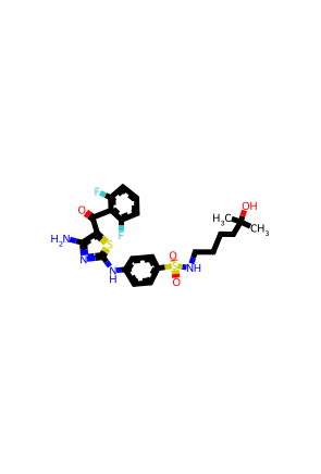 CC(C)(O)CCCCNS(=O)(=O)c1ccc(Nc2nc(N)c(C(=O)c3c(F)cccc3F)s2)cc1